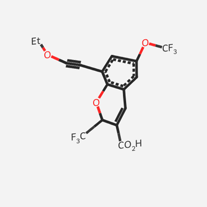 CCOC#Cc1cc(OC(F)(F)F)cc2c1OC(C(F)(F)F)C(C(=O)O)=C2